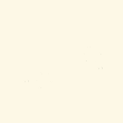 CCCC(=O)OC(=O)CCCCCC(=O)OC(=O)CCC